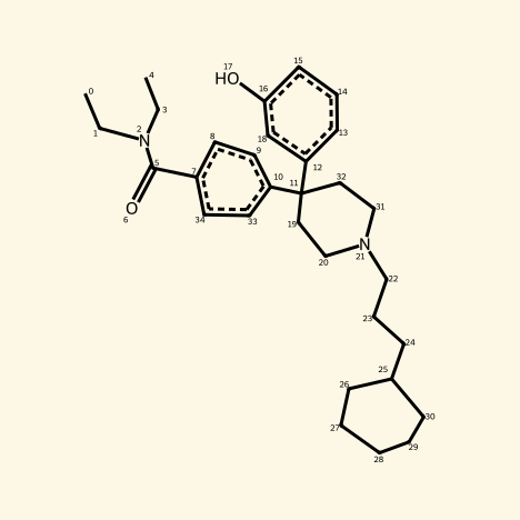 CCN(CC)C(=O)c1ccc(C2(c3cccc(O)c3)CCN(CCCC3CCCCC3)CC2)cc1